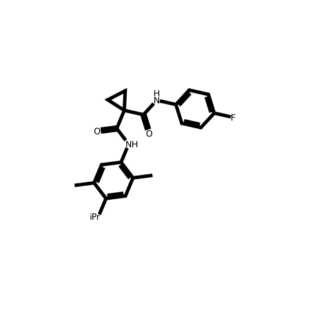 Cc1cc(C(C)C)c(C)cc1NC(=O)C1(C(=O)Nc2ccc(F)cc2)CC1